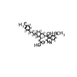 COc1ccc2nccc([C@@H](O)CCC3CCN(CCCc4ccc(C)cc4)CC3CCC(=O)O)c2c1